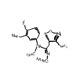 CO/N=C(/c1nonc1N)N(C=O)c1ccc(F)c(Br)c1